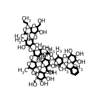 CCCO[C@@H]1OC(CO)[C@@H](O)[C@H](O[C@@H]2OC(C)[C@H](O)[C@H](O[C@@H]3OC(C)[C@H](O)[C@H](O)C3O[C@@H]3OC(C)[C@H](O)[C@H](O[C@H]4O[C@@H](CO)[C@@H](O)C(O)C4O)C3O[C@@H]3OC(CO)[C@@H](O)[C@H](O[C@@H]4OC(C)[C@@H](OCc5ccccc5)[C@H](O[C@@H]5OC(C)[C@H](O)[C@H](O)C5O)C4C)C3NC(C)=O)C2C)C1NC(C)=O